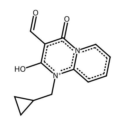 O=Cc1c(O)[n+](CC2CC2)c2ccccn2c1=O